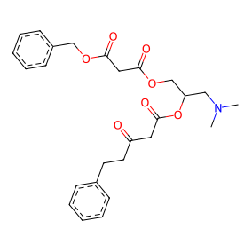 CN(C)CC(COC(=O)CC(=O)OCc1ccccc1)OC(=O)CC(=O)CCc1ccccc1